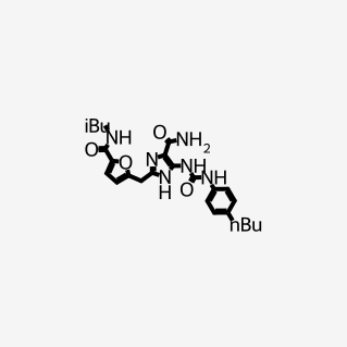 CCCCc1ccc(NC(=O)Nc2[nH]c(Cc3ccc(C(=O)NC(C)CC)o3)nc2C(N)=O)cc1